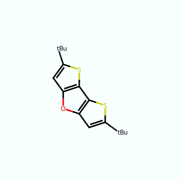 CC(C)(C)c1cc2oc3cc(C(C)(C)C)sc3c2s1